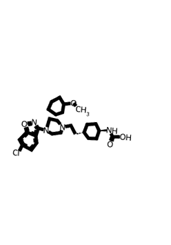 COC1CCCCC1.O=C(O)N[C@H]1CC[C@H](CCN2CCN(c3noc4cc(Cl)ccc34)CC2)CC1